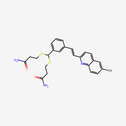 N#Cc1ccc2nc(/C=C/c3cccc(C(SCCC(N)=O)SCCC(N)=O)c3)ccc2c1